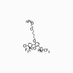 CCCOCCOCCCCCOc1ccc(-c2cc(C(F)(F)F)nn2C)c(OC(C)=O)c1-c1ccc(Cl)c(C(F)(F)F)c1